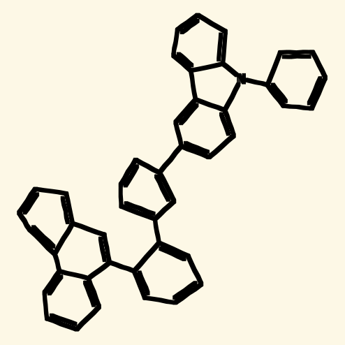 c1ccc(-n2c3ccccc3c3cc(-c4cccc(-c5ccccc5-c5cc6ccccc6c6ccccc56)c4)ccc32)cc1